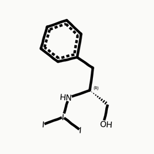 OC[C@@H](Cc1ccccc1)NI(I)I